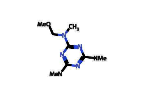 CNc1nc(NC)nc(N(C)COC)n1